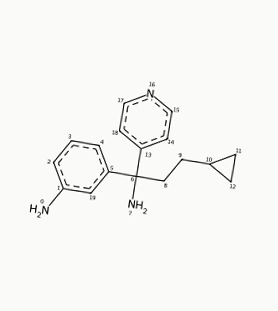 Nc1cccc(C(N)(CCC2CC2)c2ccncc2)c1